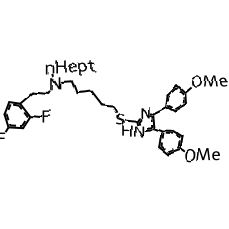 CCCCCCCN(CCCCCSc1nc(-c2ccc(OC)cc2)c(-c2ccc(OC)cc2)[nH]1)CCc1ccc(F)cc1F